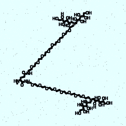 CNC(CCC(=O)NCCOCCOCCOCCOCCOCCOCCOCCOCCN(C[C@H](O)[C@@H](O)[C@H](O)[C@H](O)CO)C[C@H](O)[C@@H](O)[C@H](O)[C@H](O)CO)C(=O)NCCOCCOCCOCCOCCOCCOCCOCCOCCN(C[C@H](O)[C@@H](O)[C@H](O)[C@H](O)CO)C[C@H](O)[C@@H](O)[C@H](O)[C@H](O)CO